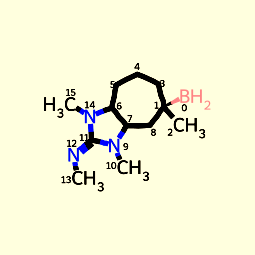 B[C@]1(C)CCCC2C(C1)N(C)/C(=N\C)N2C